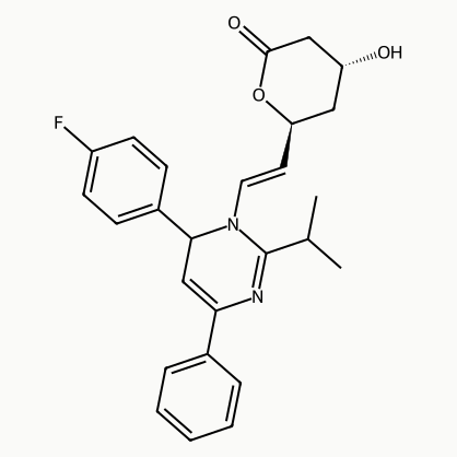 CC(C)C1=NC(c2ccccc2)=CC(c2ccc(F)cc2)N1/C=C/[C@@H]1C[C@@H](O)CC(=O)O1